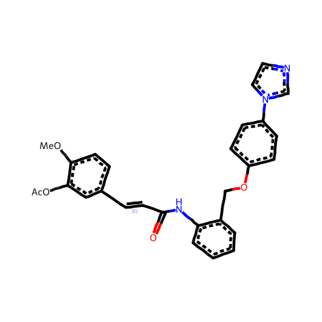 COc1ccc(/C=C/C(=O)Nc2ccccc2COc2ccc(-n3ccnc3)cc2)cc1OC(C)=O